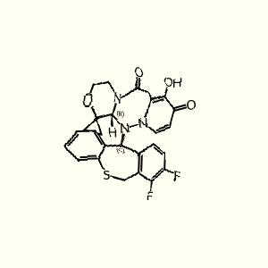 O=C1c2c(O)c(=O)ccn2N([C@@H]2c3ccccc3SCc3c2ccc(F)c3F)[C@H]2N1CCOC21CC1